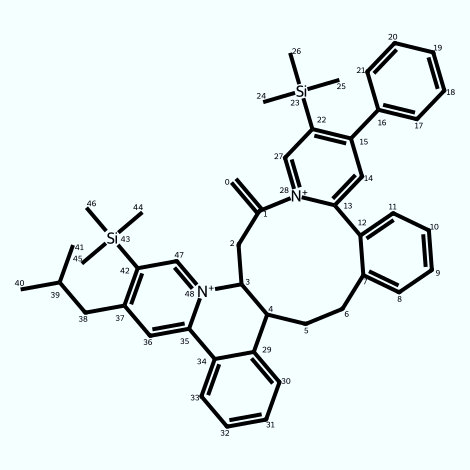 C=C1CC2C(CCc3ccccc3-c3cc(-c4ccccc4)c([Si](C)(C)C)c[n+]31)c1ccccc1-c1cc(CC(C)C)c([Si](C)(C)C)c[n+]12